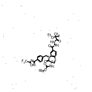 CCOC(F)(C(=O)NNC(=O)c1ccc2c(c1)N(Cc1ccc(-c3noc(C(F)(F)F)n3)cc1)C(=O)[C@@H](NC(=O)OC(C)(C)C)CS2)C(F)(F)F